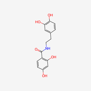 O=C(NCCc1ccc(O)c(O)c1)c1ccc(O)cc1O